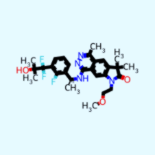 COCCN1C(=O)C(C)(C)c2cc3c(C)nnc(N[C@H](C)c4cccc(C(F)(F)C(C)(C)O)c4F)c3cc21